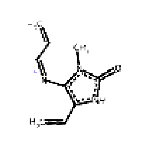 C=C/C=N\c1c(C=C)[nH]c(=O)n1C